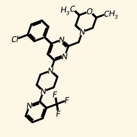 CC1CN(Cc2nc(-c3cccc(Cl)c3)cc(N3CCN(c4ncccc4C(F)(F)F)CC3)n2)CC(C)O1